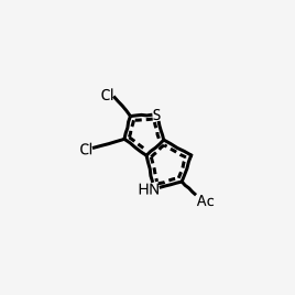 CC(=O)c1cc2sc(Cl)c(Cl)c2[nH]1